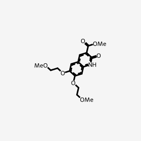 COCCOc1cc2cc(C(=O)OC)c(=O)[nH]c2cc1OCCOC